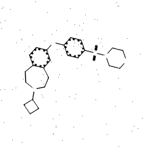 O=S(=O)(c1ccc(Oc2ccc3c(c2)CCN(C2CCC2)CC3)cc1)N1CCOCC1